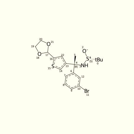 CC(C)(C)[S@@+]([O-])N[C@](C)(c1cccc(Br)c1)c1csc(C2OCCO2)c1